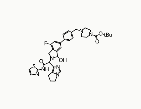 CC(C)(C)OC(=O)N1CCN(Cc2ccc(-c3cc(F)c4c(c3)C(O)N(C(C(=O)Nc3nccs3)c3ncn5c3CCC5)C4)cc2)CC1